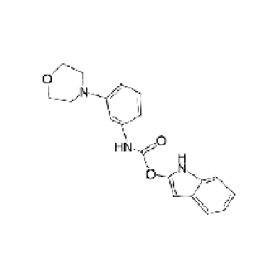 O=C(Nc1cccc(N2CCOCC2)c1)Oc1cc2ccccc2[nH]1